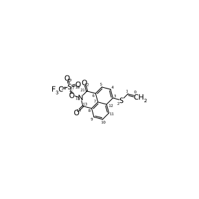 C=CSc1ccc2c3c(cccc13)C(=O)N(OS(=O)(=O)C(F)(F)F)C2=O